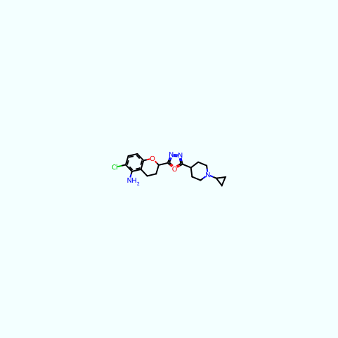 Nc1c(Cl)ccc2c1CCC(c1nnc(C3CCN(C4CC4)CC3)o1)O2